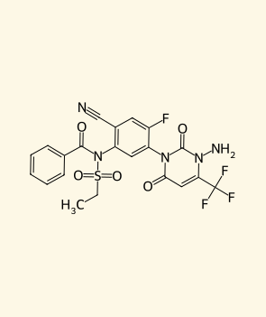 CCS(=O)(=O)N(C(=O)c1ccccc1)c1cc(-n2c(=O)cc(C(F)(F)F)n(N)c2=O)c(F)cc1C#N